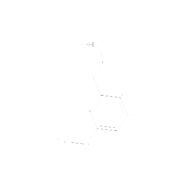 O=[C]OCc1cccc(OC(F)(F)F)c1